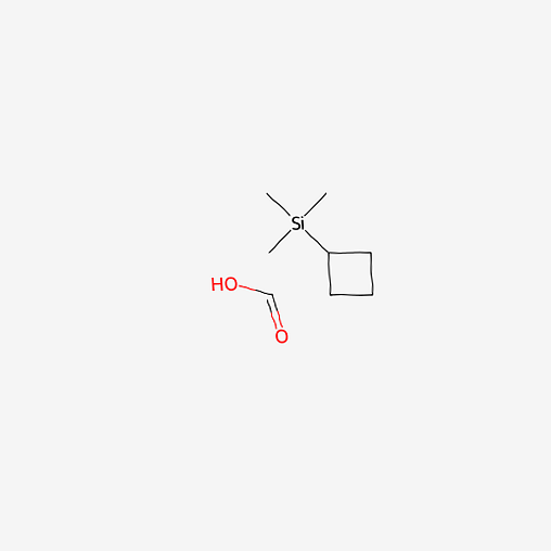 C[Si](C)(C)C1CCC1.O=CO